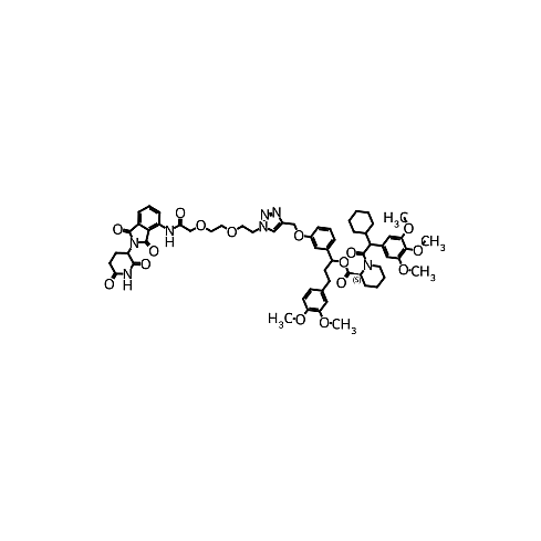 COc1ccc(CCC(OC(=O)[C@@H]2CCCCN2C(=O)C(c2cc(OC)c(OC)c(OC)c2)C2CCCCC2)c2cccc(OCc3cn(CCOCCOCC(=O)Nc4cccc5c4C(=O)N(C4CCC(=O)NC4=O)C5=O)nn3)c2)cc1OC